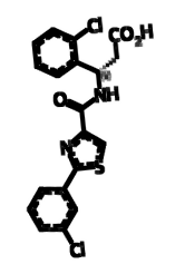 O=C(O)C[C@H](NC(=O)c1csc(-c2cccc(Cl)c2)n1)c1ccccc1Cl